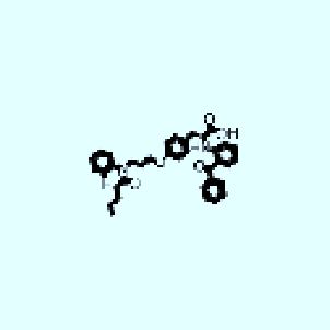 CCCCC(=O)N(CCCOc1ccc(C[C@H](Nc2ccccc2C(=O)c2ccccc2)C(=O)O)cc1)c1ccccc1F